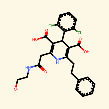 O=C(CC1=C(C(=O)O)C(c2c(Cl)cccc2Cl)C(C(=O)O)=C(CCc2ccccc2)N1)NCCO